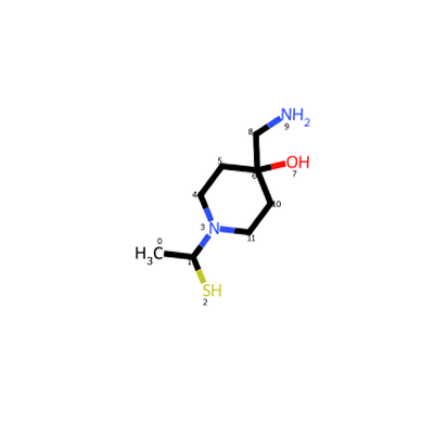 CC(S)N1CCC(O)(CN)CC1